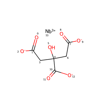 O=C([O-])CC(O)(CC(=O)[O-])C(=O)[O-].[Nb+3]